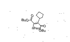 CCCCCC(C(=O)OCC(C)C)=C(C(=O)OCC(C)C)C1CCCC1